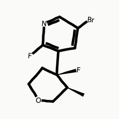 C[C@H]1COCC[C@]1(F)c1cc(Br)cnc1F